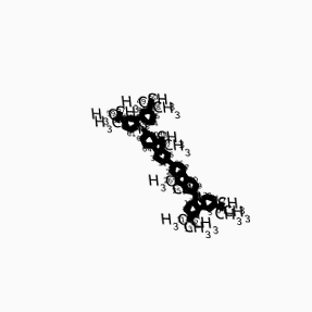 CC(C)(C)C1=CC2c3cc(C(C)(C)C)ccc3N(c3ccc4c(c3)C(C)(C)c3cc(-c5ccc6c(c5)C(C)(C)c5cc(-n7c8ccc(C(C)(C)C)cc8c8cc(C(C)(C)C)ccc87)ccc5-6)ccc3-4)C2C=C1